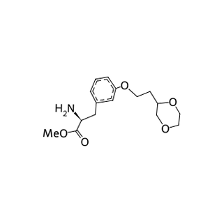 COC(=O)[C@@H](N)Cc1cccc(OCCC2COCCO2)c1